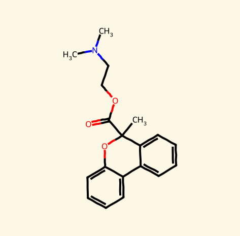 CN(C)CCOC(=O)C1(C)Oc2ccccc2-c2ccccc21